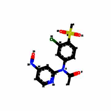 CC(=O)N(c1ccc(S(C)(=O)=O)c(Cl)c1)c1cc(N=O)ccn1